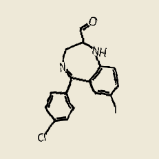 O=CC1CN=C(c2ccc(Cl)cc2)c2cc(I)ccc2N1